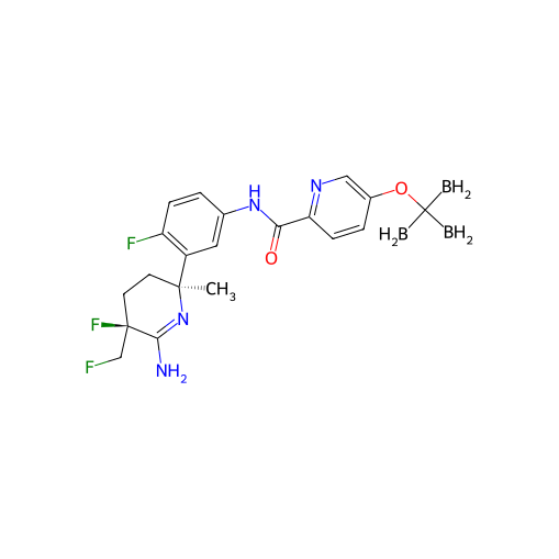 BC(B)(B)Oc1ccc(C(=O)Nc2ccc(F)c([C@]3(C)CC[C@@](F)(CF)C(N)=N3)c2)nc1